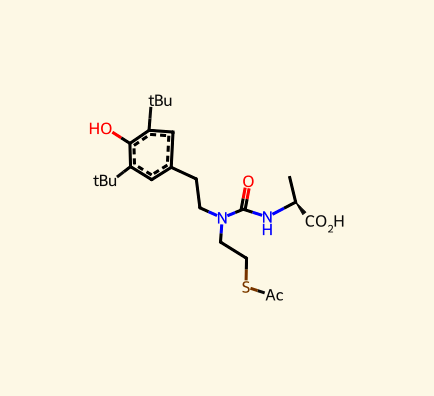 CC(=O)SCCN(CCc1cc(C(C)(C)C)c(O)c(C(C)(C)C)c1)C(=O)N[C@@H](C)C(=O)O